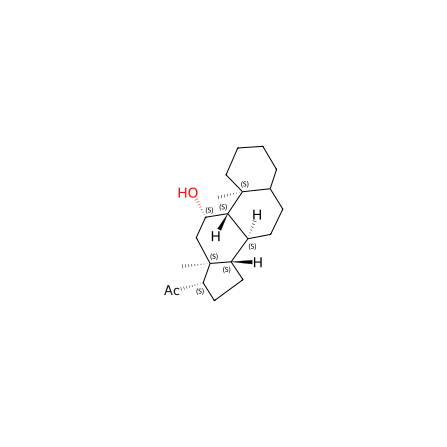 CC(=O)[C@H]1CC[C@H]2[C@@H]3CCC4CCCC[C@]4(C)[C@H]3[C@@H](O)C[C@]12C